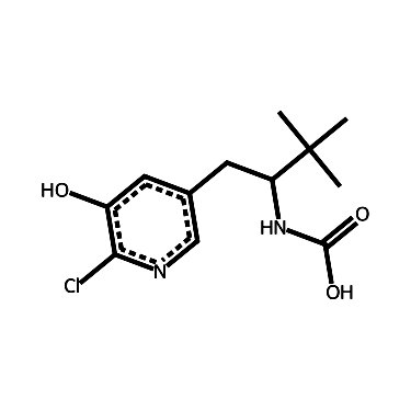 CC(C)(C)C(Cc1cnc(Cl)c(O)c1)NC(=O)O